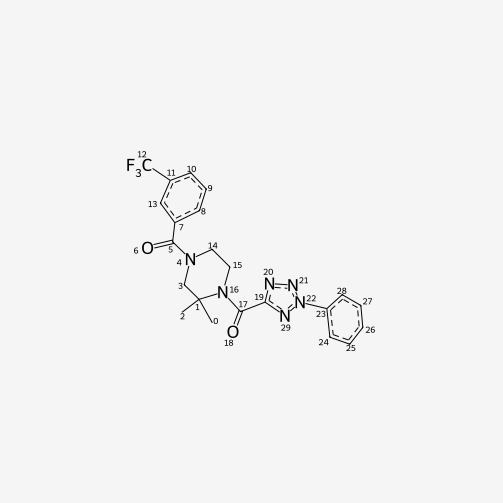 CC1(C)CN(C(=O)c2cccc(C(F)(F)F)c2)CCN1C(=O)c1nnn(-c2ccccc2)n1